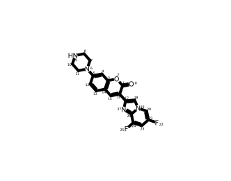 O=c1oc2cc(N3CCNCC3)ccc2cc1-c1cn2cc(F)cc(F)c2n1